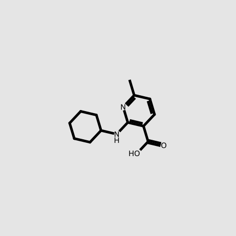 Cc1ccc(C(=O)O)c(NC2CCCCC2)n1